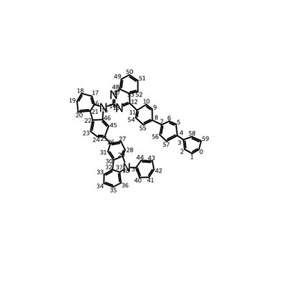 c1ccc(-c2ccc(-c3ccc(-c4nc(-n5c6ccccc6c6ccc(-c7ccc8c(c7)c7ccccc7n8-c7ccccc7)cc65)nc5ccccc45)cc3)cc2)cc1